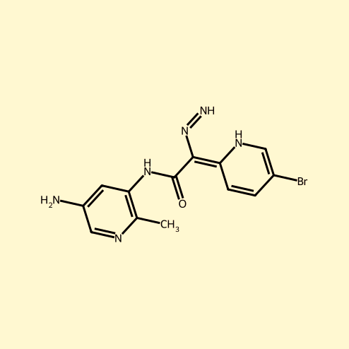 Cc1ncc(N)cc1NC(=O)/C(N=N)=C1\C=CC(Br)=CN1